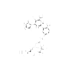 Cc1noc(C)c1-c1nc(-c2cc(OC[C@@H](CCOC(N)=O)O[Si](C)(C)C(C)(C)C)ccc2Cl)nc(Cl)c1C